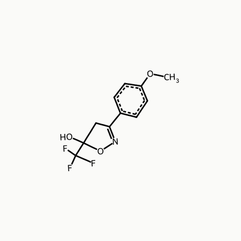 COc1ccc(C2=NOC(O)(C(F)(F)F)C2)cc1